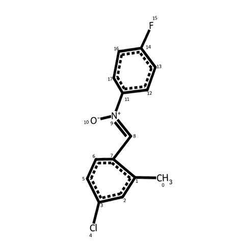 Cc1cc(Cl)ccc1C=[N+]([O-])c1ccc(F)cc1